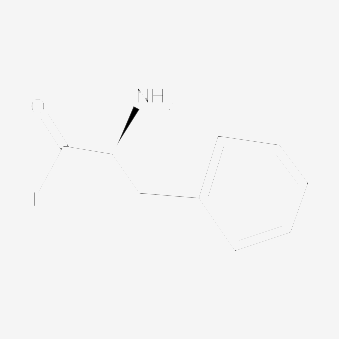 N[C@@H](Cc1ccccc1)C(=O)I